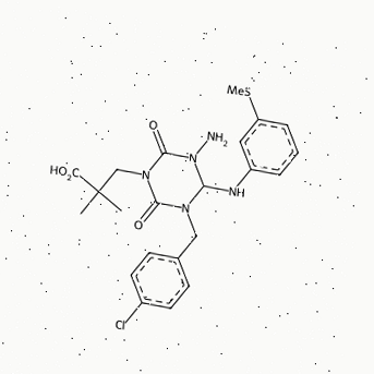 CSc1cccc(NC2N(N)C(=O)N(CC(C)(C)C(=O)O)C(=O)N2Cc2ccc(Cl)cc2)c1